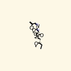 C=C(Cl)/C=N\C(=C\S(=O)(=O)N(C)C[C@H](CC)OC)OC